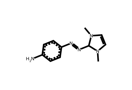 CN1C=CN(C)C1N=Nc1ccc(N)cc1